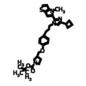 Cn1c(-c2nc(C3CCC3)cn2CCCc2ccc(OCC3CCN(C(=O)OC(C)(C)C)C3)cc2)cc2sccc21